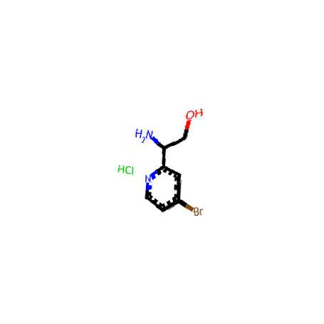 Cl.NC(CO)c1cc(Br)ccn1